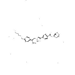 NCCCNCc1ccc(-c2cn3cc(-c4ccc(C(=O)NC5CN6CCC5CC6)cc4)[nH]c3nc2=O)cc1